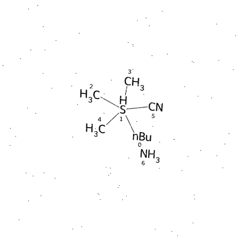 CCCC[SH](C)(C)(C)C#N.N